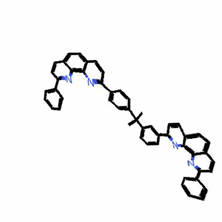 CC(C)(c1ccc(-c2ccc3ccc4ccc(-c5ccccc5)nc4c3n2)cc1)c1cccc(-c2ccc3ccc4ccc(-c5ccccc5)nc4c3n2)c1